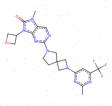 Cc1nc(N2CC3(CCN(c4ncc5c(n4)n(C4COC4)c(=O)n5C)C3)C2)cc(C(F)(F)F)n1